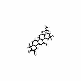 COC(=O)N[C@@]12CCC3C(C(=O)C=C4[C@@]5(C)C=C(C#N)C(=O)C(C)(C)C5CC[C@]43C)C1CC(C)(C)CC2